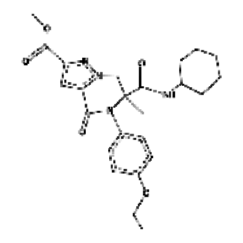 CCOc1ccc(N2C(=O)c3cc(C(=O)OC)nn3CC2(C)C(=O)NC2CCCCC2)cc1